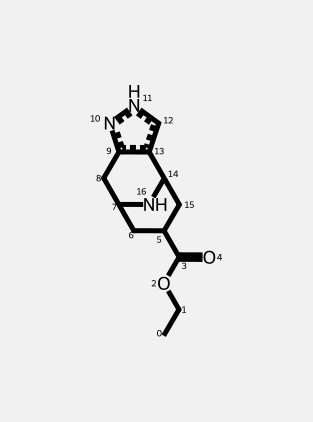 CCOC(=O)C1CC2Cc3n[nH]cc3C(C1)N2